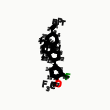 CCCC=C[C@@H]1CC[C@H]2[C@H](CC[C@H]3C[C@H](c4ccc(OC(F)(F)F)c(F)c4)CC[C@@H]32)C1